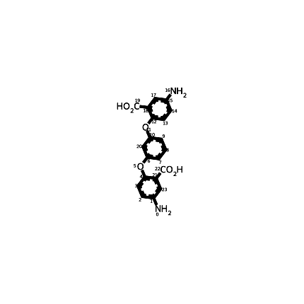 Nc1ccc(Oc2cccc(Oc3ccc(N)cc3C(=O)O)c2)c(C(=O)O)c1